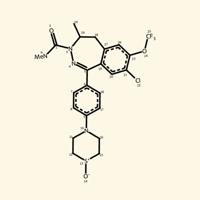 CNC(=O)N1N=C(c2ccc(N3CC[S+]([O-])CC3)cc2)c2cc(Cl)c(OC(F)(F)F)cc2CC1C